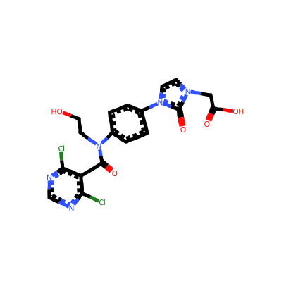 O=C(O)Cn1ccn(-c2ccc(N(CCO)C(=O)c3c(Cl)ncnc3Cl)cc2)c1=O